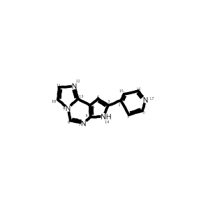 c1cc(-c2cc3c(ncn4ccnc34)[nH]2)ccn1